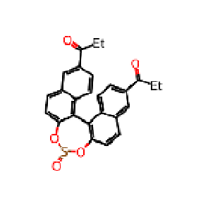 CCC(=O)c1ccc2c3c(ccc2c1)OS(=O)Oc1ccc2cc(C(=O)CC)ccc2c1-3